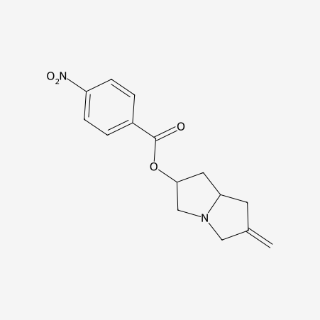 C=C1CC2CC(OC(=O)c3ccc([N+](=O)[O-])cc3)CN2C1